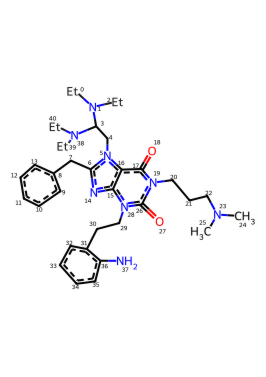 CCN(CC)C(Cn1c(Cc2ccccc2)nc2c1c(=O)n(CCCN(C)C)c(=O)n2CCc1ccccc1N)N(CC)CC